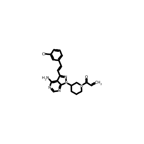 C=CC(=O)N1CCCC(n2nc(/C=C/c3cccc(Cl)c3)c3c(N)ncnc32)C1